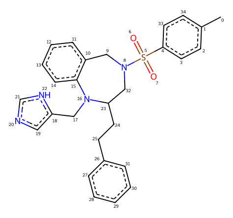 Cc1ccc(S(=O)(=O)N2Cc3ccccc3N(Cc3cnc[nH]3)C(CCc3ccccc3)C2)cc1